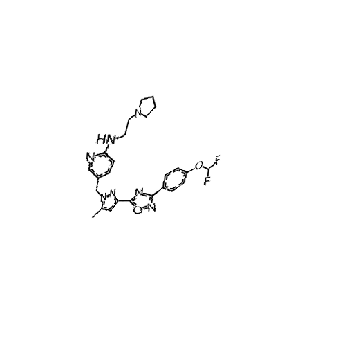 Cc1cc(-c2nc(-c3ccc(OC(F)F)cc3)no2)nn1Cc1ccc(NCCN2CCCC2)nc1